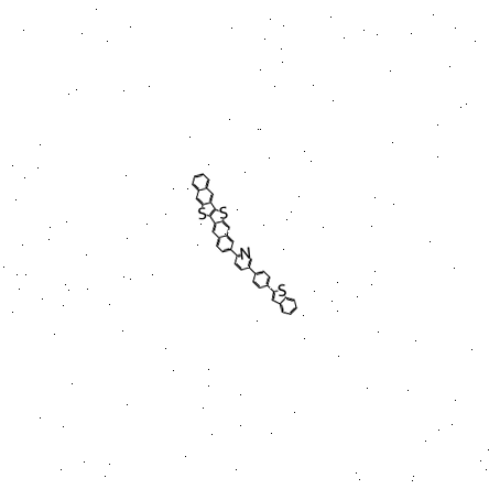 c1ccc2cc3c(cc2c1)sc1c2cc4ccc(-c5ccc(-c6ccc(-c7cc8ccccc8s7)cc6)cn5)cc4cc2sc31